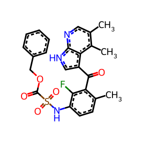 Cc1ccc(NS(=O)(=O)C(=O)OCc2ccccc2)c(F)c1C(=O)c1c[nH]c2ncc(C)c(C)c12